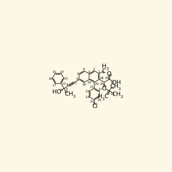 Cc1cc2ccc(C#CC(C)(O)c3ccccc3)cc2c(-c2ccc(Cl)cc2)c1[C@H](OC(C)(C)C)C(=O)O